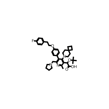 Cc1nc(CN2CCCC2)c(-c2ccc(OCCc3ccc(F)cc3)cc2)c(N2CCC3(CCC3)CC2)c1C(OC(C)(C)C)C(=O)O